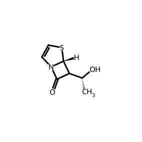 C[C@@H](O)C1C(=O)N2C=CS[C@H]12